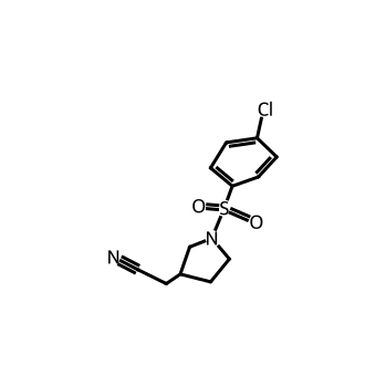 N#CCC1CCN(S(=O)(=O)c2ccc(Cl)cc2)C1